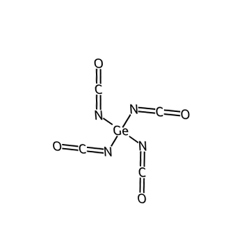 O=C=[N][Ge]([N]=C=O)([N]=C=O)[N]=C=O